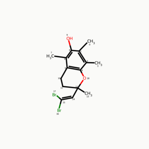 Cc1c(C)c2c(c(C)c1O)CCC(C)(C=C(Br)Br)O2